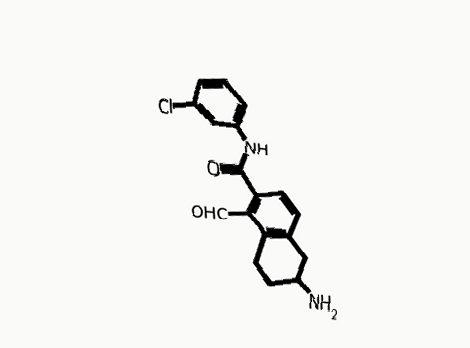 NC1CCc2c(ccc(C(=O)Nc3cccc(Cl)c3)c2C=O)C1